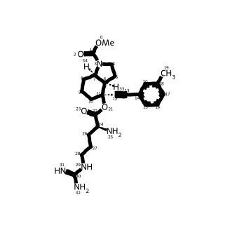 COC(=O)N1CC[C@@H]2[C@H]1CCC[C@]2(C#Cc1cccc(C)c1)OC(=O)[C@@H](N)CCCNC(=N)N